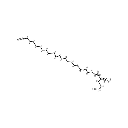 CCCCCCCCCCCCCCCCCCCCCCCCCCCCCCCCNC(CCC(=O)O)C(=O)O